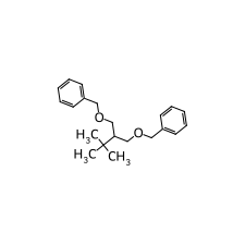 CC(C)(C)C(COCc1ccccc1)COCc1ccccc1